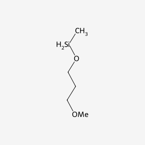 COCCCO[SiH2]C